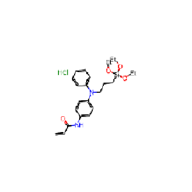 C=CC(=O)Nc1ccc(N(CCC[Si](OCC)(OCC)OCC)c2ccccc2)cc1.Cl